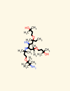 CCC(C)(CC(=N)/C(CC(C)(C)OCCC(C)(C)O)=N/C(C)(C)CCOC(C)(C)C(C)(C)N)OCCC(C)(C)O